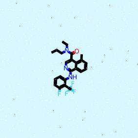 CCCN(CC)C(=O)c1cnc(Nc2cccc(F)c2C(F)(F)F)c2cccc(C)c12